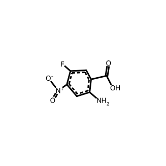 Nc1cc([N+](=O)[O-])c(F)cc1C(=O)O